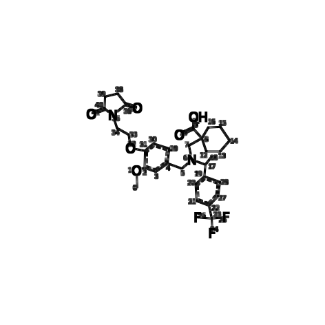 COc1cc(CN(CC2(C(=O)O)CCCCC2)C(C)c2ccc(C(F)(F)F)cc2)ccc1OCCN1C(=O)CCC1=O